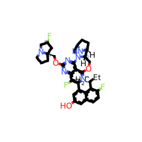 C=C(CC)c1c(F)ccc2cc(O)cc(-c3nc4c5c(nc(OC[C@@]67CCCN6C[C@@H](F)C7)nc5c3F)N3CC5CC[C@H](N5)[C@@H]3CO4)c12